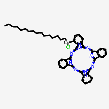 CCCCCCCCCCCCCCC[CH2][Cu]([Cl])[c]1cccc2c3nc4nc(nc5[nH]c(nc6nc(nc([nH]3)c12)-c1ccccc1-6)c1ccccc51)-c1ccccc1-4